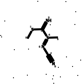 CSC(=N)S(C)=NC#N